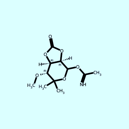 CO[C@@H]1[C@H]2OC(=O)O[C@H]2C(OC(C)=N)OC1(C)C